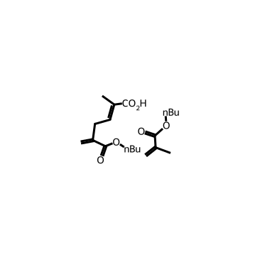 C=C(C)C(=O)OCCCC.C=C(CC=C(C)C(=O)O)C(=O)OCCCC